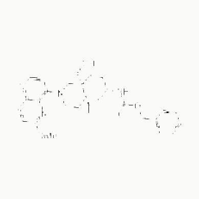 COc1ccc2nccc(N3CC[C@H]4C[C@@H](NC(=O)OCc5ccccc5)CC[C@]4(CO)C3)c2n1